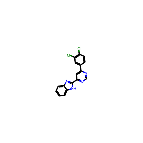 Clc1ccc(-c2cc(-c3nc4ccccc4[nH]3)ncn2)cc1Cl